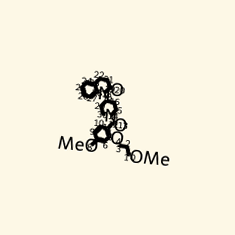 COCCCOc1cc(OC)ccc1C(=O)N1CCC(N2C(=O)CCc3ccccc32)CC1